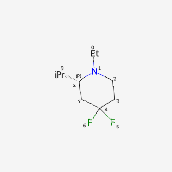 CCN1CCC(F)(F)C[C@@H]1C(C)C